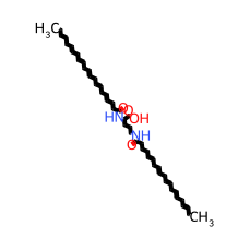 CCC=CCC=CCC=CCC=CCC=CCC=CCCC(=O)NC(CCCNC(=O)CCCC=CCC=CCC=CCC=CCC=CCC)C(=O)O